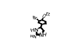 CCOc1ccc(C2CNC(=N)N2)cc1Br